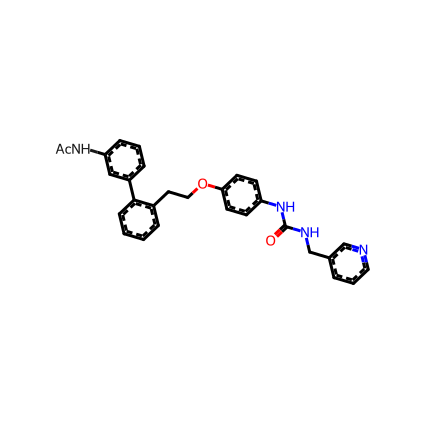 CC(=O)Nc1cccc(-c2ccccc2CCOc2ccc(NC(=O)NCc3cccnc3)cc2)c1